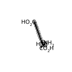 NCC(=O)[C@H](CCC(=O)O)NC(=O)CCCCCCCCCCCCCCCCCCC(=O)O